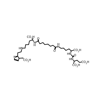 O=C(O)CCC(NC(=O)NC(CCCCNC(=O)CCCCCCC(=O)NC(CCCCNCCC1=NC=CC1CC(=O)O)C(=O)O)C(=O)O)C(=O)O